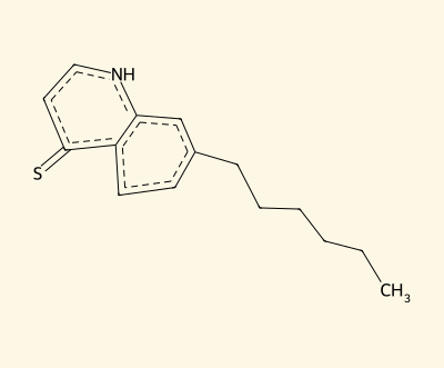 CCCCCCc1ccc2c(=S)cc[nH]c2c1